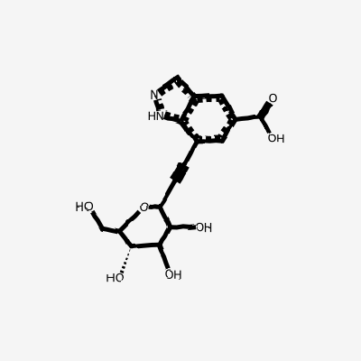 O=C(O)c1cc(C#CC2OC(CO)[C@@H](O)C(O)C2O)c2[nH]ncc2c1